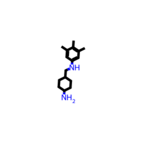 Cc1cc(NCC2CCC(N)CC2)cc(C)c1C